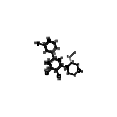 CC[C@@H]1COCCN1c1nc(-c2ccnc(F)c2)[nH]c(=O)c1Cl